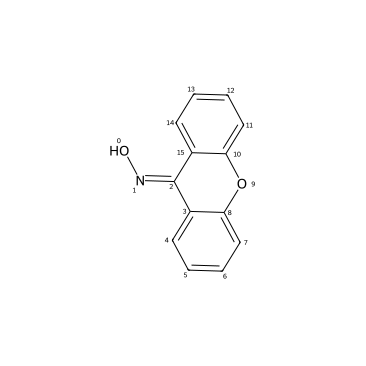 ON=c1c2ccccc2oc2ccccc12